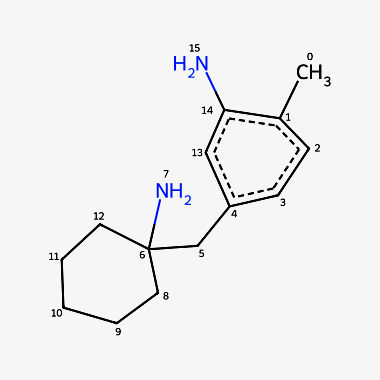 Cc1ccc(CC2(N)CCCCC2)cc1N